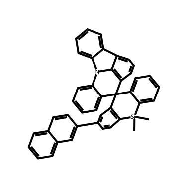 C[Si]1(C)c2ccccc2C2(c3ccccc3-n3c4ccccc4c4cccc2c43)c2cc(-c3ccc4ccccc4c3)ccc21